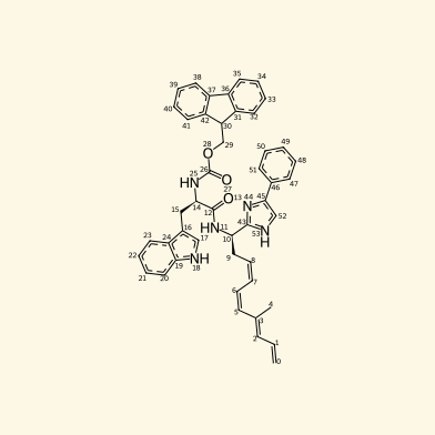 C=C/C=C(C)/C=C\C=C/C[C@@H](NC(=O)[C@@H](Cc1c[nH]c2ccccc12)NC(=O)OCC1c2ccccc2-c2ccccc21)c1nc(-c2ccccc2)c[nH]1